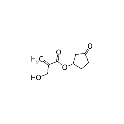 C=C(CO)C(=O)OC1CCC(=O)C1